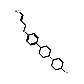 C/C=C/COc1ccc(C2CCC([C@H]3CC[C@H](CCC)CC3)CC2)cc1